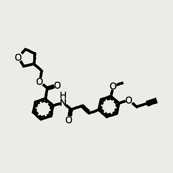 C#CCOc1ccc(/C=C/C(=O)Nc2ccccc2C(=O)OCC2CCOC2)cc1OC